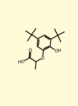 CC(Oc1cc(C(C)(C)C)cc(C(C)(C)C)c1O)C(=O)O